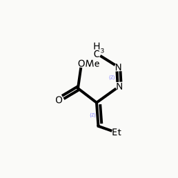 CC/C=C(\N=N/C)C(=O)OC